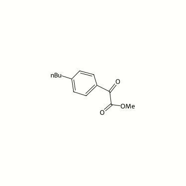 CCCCc1ccc(C(=O)C(=O)OC)cc1